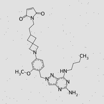 CCCCNc1nc(N)nc2cn(Cc3ccc(N4CC5(CC(CCN6C(=O)C=CC6=O)C5)C4)cc3OC)nc12